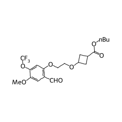 CCCCOC(=O)C1CC(OCCOc2cc(OC(F)(F)F)c(OC)cc2C=O)C1